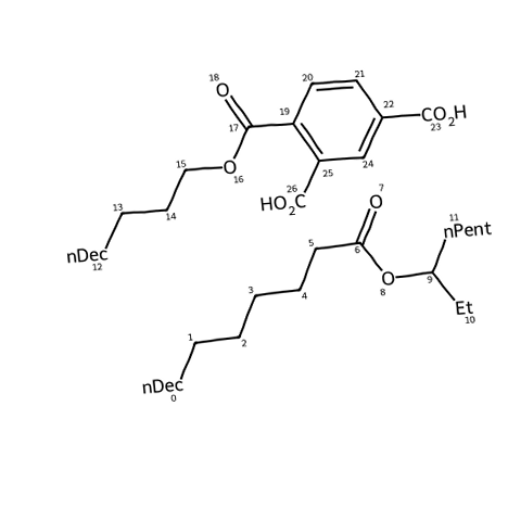 CCCCCCCCCCCCCCCC(=O)OC(CC)CCCCC.CCCCCCCCCCCCCOC(=O)c1ccc(C(=O)O)cc1C(=O)O